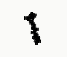 COc1cccc(F)c1-c1ncc2[nH]nc(-c3ccc(N4CCN(CC(=O)NCCNc5ccc6c(c5)C(=O)N(C5CCC(=O)NC5=O)C6=O)CC4)cc3)c2n1